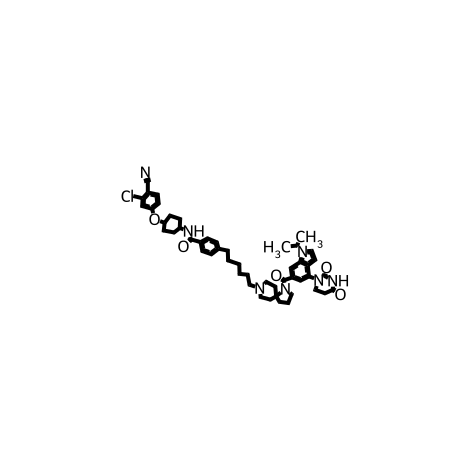 CC(C)n1ccc2c(N3CCC(=O)NC3=O)cc(C(=O)N3CCCC34CCN(CCCCCCc3ccc(C(=O)NC5CCC(Oc6ccc(C#N)c(Cl)c6)CC5)cc3)CC4)cc21